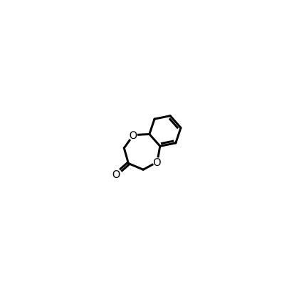 O=C1COC2=CC=CCC2OC1